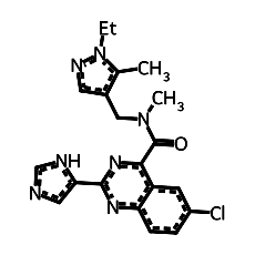 CCn1ncc(CN(C)C(=O)c2nc(-c3cnc[nH]3)nc3ccc(Cl)cc23)c1C